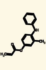 C=CC(=O)Oc1ccc(Nc2ccccc2)c(C)c1